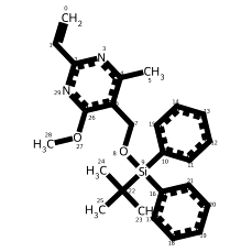 C=Cc1nc(C)c(CO[Si](c2ccccc2)(c2ccccc2)C(C)(C)C)c(OC)n1